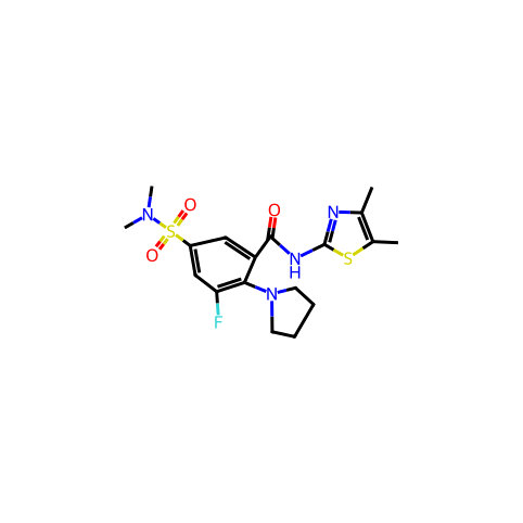 Cc1nc(NC(=O)c2cc(S(=O)(=O)N(C)C)cc(F)c2N2CCCC2)sc1C